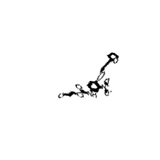 O=C(Nc1ccc(OCC2CCCO2)c([N+](=O)[O-])c1)OCCCl